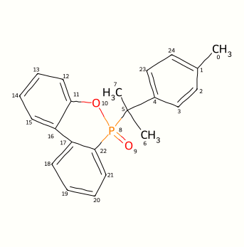 Cc1ccc(C(C)(C)P2(=O)Oc3ccccc3-c3ccccc32)cc1